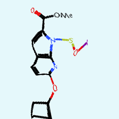 COC(=O)c1cc2ccc(OC3CCC3)nc2n1SOI